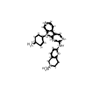 BN1CCc2nc(Nc3ncc4c5ccncc5n(C5CCC(C)CC5)c4n3)ccc2C1